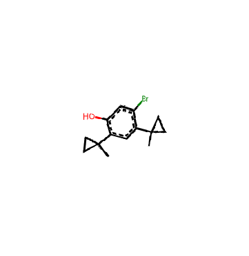 CC1(c2cc(C3(C)CC3)c(Br)cc2O)CC1